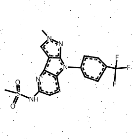 Cn1cc2c3nc(NS(C)(=O)=O)ccc3n(-c3ccc(C(F)(F)F)cc3)c2n1